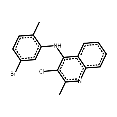 Cc1ccc(Br)cc1Nc1c(Cl)c(C)nc2ccccc12